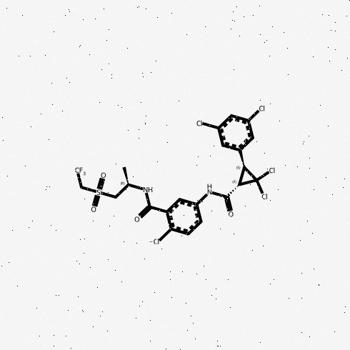 C[C@H](CS(=O)(=O)CC(F)(F)F)NC(=O)c1cc(NC(=O)[C@@H]2[C@@H](c3cc(Cl)cc(Cl)c3)C2(Cl)Cl)ccc1Cl